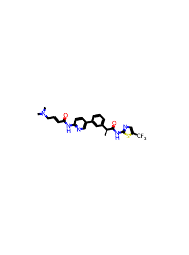 C[C@H](C(=O)Nc1ncc(C(F)(F)F)s1)c1cccc(-c2ccc(NC(=O)/C=C/CN(C)C)nc2)c1